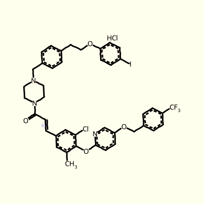 Cc1cc(/C=C/C(=O)N2CCN(Cc3ccc(CCOc4ccc(I)cc4)cc3)CC2)cc(Cl)c1Oc1ccc(OCc2ccc(C(F)(F)F)cc2)cn1.Cl